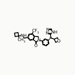 CC1(NCc2cc3c(c(C(F)(F)F)c2)CN(c2cccc([C@@H](c4nnc[nH]4)C4COC4)c2)C3=O)CCC1